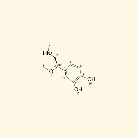 CNC[C@H](OC)c1ccc(O)c(O)c1